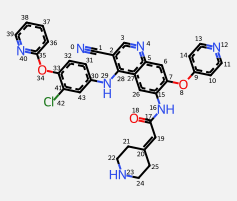 N#Cc1cnc2cc(Oc3ccncc3)c(NC(=O)C=C3CCNCC3)cc2c1Nc1ccc(Oc2ccccn2)c(Cl)c1